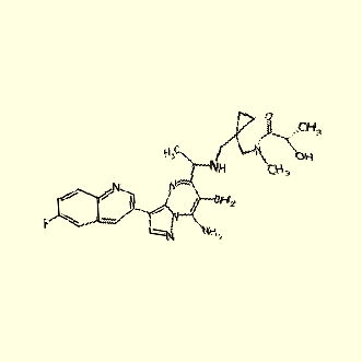 Bc1c(C(C)NCC2(CN(C)C(=O)[C@H](C)O)CC2)nc2c(-c3cnc4ccc(F)cc4c3)cnn2c1N